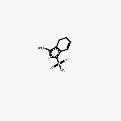 CS(=O)(=O)c1sc(C(=O)O)c2c1C=CCC2